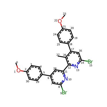 COc1ccc(-c2cc(Br)nc(-c3nc(Br)cc(-c4ccc(OC)cc4)c3C)c2)cc1